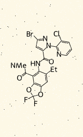 CCc1cc2c(c(C(=O)NC)c1NC(=O)c1cc(Br)nn1-c1ncccc1Cl)OC(F)(F)O2